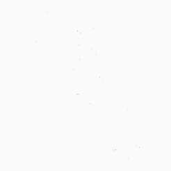 c1cncc(CC2C(Oc3cnc(-c4ccc5[nH]ccc5c4)cn3)C3CCN2CC3)c1